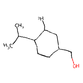 [2H]C1CC(CO)CCC1C(C)C